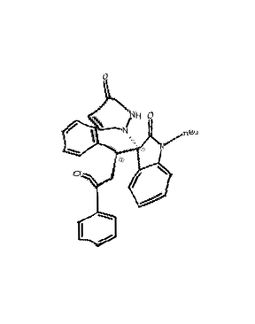 CCCCN1C(=O)[C@@]([C@@H](CC(=O)c2ccccc2)c2ccccc2)(n2ccc(=O)[nH]2)c2ccccc21